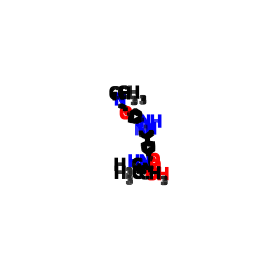 CCN(CC)CCOc1ccc(Nc2ncc(-c3ccc(C(=O)NC(C(=O)O)C(C)(C)C)cc3)cn2)cc1